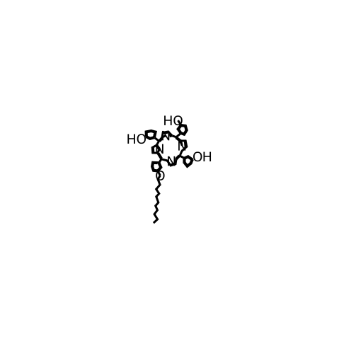 CCCCCCCCCCCOc1cccc(C2=C3C=CC(=N3)C(c3cccc(O)c3)=C3C=CC(=N3)C(c3cccc(O)c3)=C3C=CC(=N3)C(c3cccc(O)c3)=C3C=CC2=N3)c1